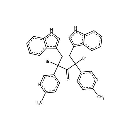 Cc1ccc(C(Br)(Cc2c[nH]c3ccccc23)C(=O)C(Br)(Cc2c[nH]c3ccccc23)c2ccc(C)nc2)cn1